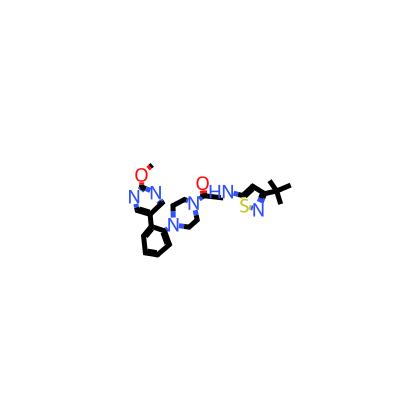 COc1ncc(-c2ccccc2N2CCN(C(=O)CNc3cc(C(C)(C)C)ns3)CC2)cn1